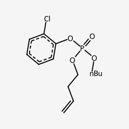 C=CCCOP(=O)(OCCCC)Oc1ccccc1Cl